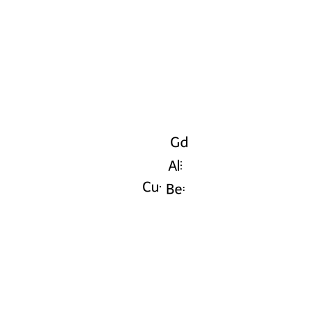 [Al].[Be].[Cu].[Gd]